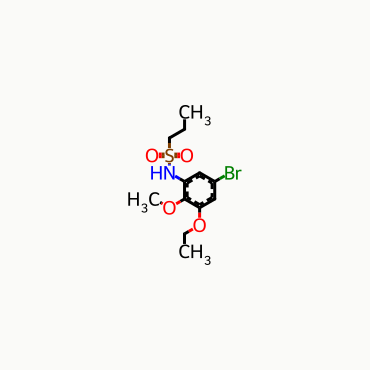 CCCS(=O)(=O)Nc1cc(Br)cc(OCC)c1OC